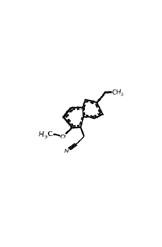 CCc1ccc2c(CC#N)c(OC)ccc2c1